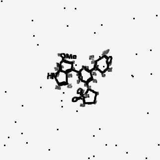 COc1cc(-c2nc([C@H]3CCCS3(=O)=O)cc(N3CCOC[C@H]3C)n2)c2cc[nH]c2n1